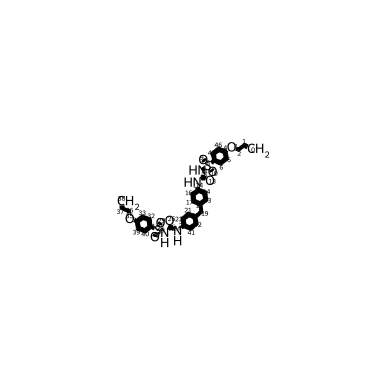 C=CCOc1ccc(S(=O)(=O)NC(=O)Nc2ccc(Cc3ccc(NC(=O)NS(=O)(=O)c4ccc(OCC=C)cc4)cc3)cc2)cc1